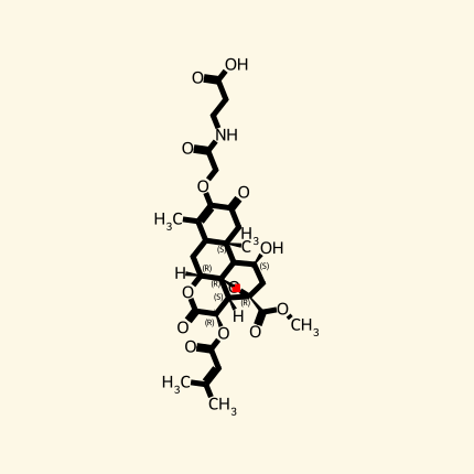 COC(=O)[C@@]12C[C@H](O)C3[C@@]4(C)CC(=O)C(OCC(=O)NCCC(=O)O)=C(C)C4C[C@H]4OC(=O)[C@H](OC(=O)C=C(C)C)[C@@H]1[C@@]34CO2